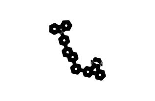 c1cc(-c2ccc3cc(-c4ccc(-n5c6ccccc6c6ccccc65)cc4)ccc3c2)cc(-c2ccc3c4ccccc4c4nccnc4c3c2)c1